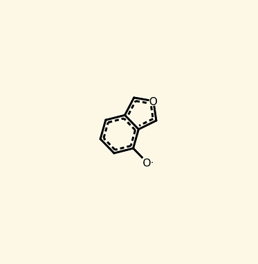 [O]c1cccc2cocc12